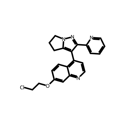 ClCCOc1ccc2c(-c3c(-c4ccccn4)nn4c3CCC4)ccnc2c1